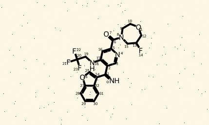 N=C(c1cnc(C(=O)N2CCOCC(F)C2)cc1NCC(F)(F)F)c1coc2ccccc12